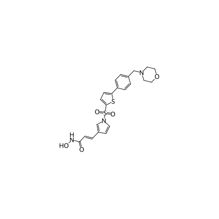 O=C(C=Cc1ccn(S(=O)(=O)c2ccc(-c3ccc(CN4CCOCC4)cc3)s2)c1)NO